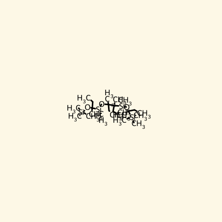 CCC(C)(O[Si](C)(C)C)[SiH](C)OC(C)(CC)[C@@](C)(CC)[Si](C)(C)O[C@](C)(CC)[Si](C)(C)C